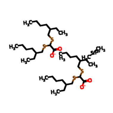 CCCCC(CC)CSC(SCC(CC)CCCC)C(=O)[O-].CCCCC(CC)CSC(SCC(CC)CCCC)C(=O)[O-].[CH3][Sn+2][CH3]